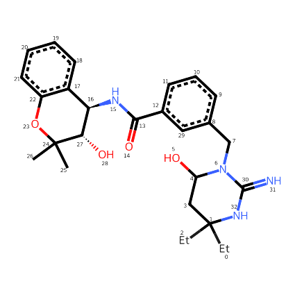 CCC1(CC)CC(O)N(Cc2cccc(C(=O)N[C@@H]3c4ccccc4OC(C)(C)[C@H]3O)c2)C(=N)N1